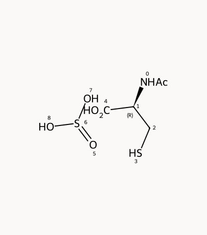 CC(=O)N[C@@H](CS)C(=O)O.O=S(O)O